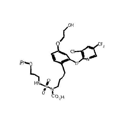 CC(C)OCCNS(=O)(=O)N(CCCc1ccc(OCCO)cc1Oc1ncc(C(F)(F)F)cc1Cl)C(=O)O